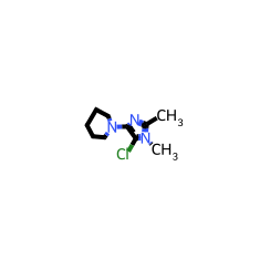 Cc1nc(N2CCCCC2)c(Cl)n1C